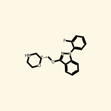 Fc1ccccc1-n1nc(OC[C@H]2CNCCO2)c2ccccc21